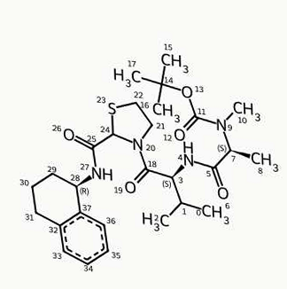 CC(C)[C@H](NC(=O)[C@H](C)N(C)C(=O)OC(C)(C)C)C(=O)N1CCSC1C(=O)N[C@@H]1CCCc2ccccc21